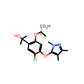 Cc1nn(C)c(Oc2cc(O[C@@H](C)C(=O)O)c(C(C)(C)O)cc2Cl)c1C